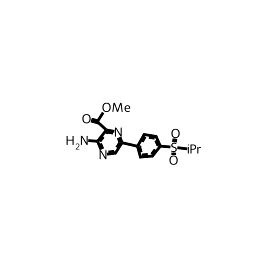 COC(=O)c1nc(-c2ccc(S(=O)(=O)C(C)C)cc2)cnc1N